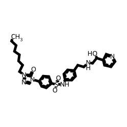 CCCCCCCCn1ncn(-c2ccc(S(=O)(=O)Nc3ccc(CCNCC(O)c4cccnc4)cc3)cc2)c1=O